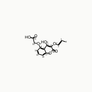 CC=COc1c(O)c2c(OCC(=O)O)cccc2oc1=O